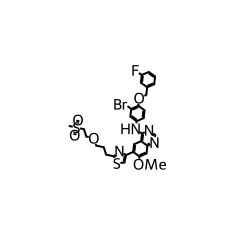 COc1cc2ncnc(Nc3ccc(OCc4cccc(F)c4)c(Br)c3)c2cc1-c1csc(CCCOCCS(C)(=O)=O)n1